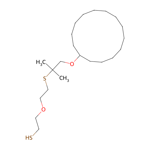 CC(C)(COC1CCCCCCCCCCCCC1)SCCOCCS